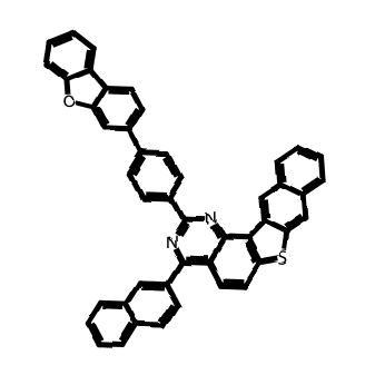 c1ccc2cc(-c3nc(-c4ccc(-c5ccc6c(c5)oc5ccccc56)cc4)nc4c3ccc3sc5cc6ccccc6cc5c34)ccc2c1